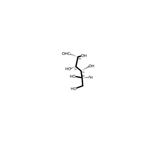 [3H][C@@](O)(CO)[C@@H](O)[C@H](O)[C@@H](O)C=O